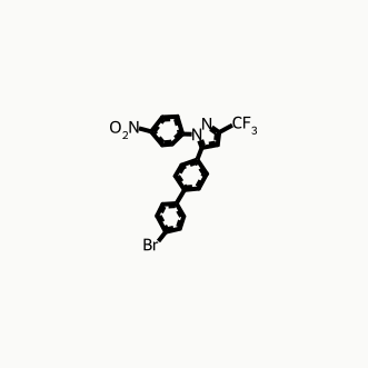 O=[N+]([O-])c1ccc(-n2nc(C(F)(F)F)cc2-c2ccc(-c3ccc(Br)cc3)cc2)cc1